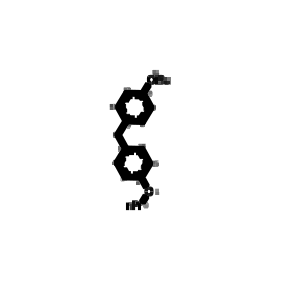 CCCOc1ccc(Cc2ccc(OCC(C)C)cc2)cc1